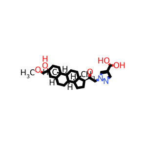 COC[C@@]1(O)CC[C@@]2(C)[C@@H](CC[C@@H]3[C@@H]2CC[C@]2(C)[C@@H](C(=O)Cn4cc(C(O)O)cn4)CC[C@@H]32)C1